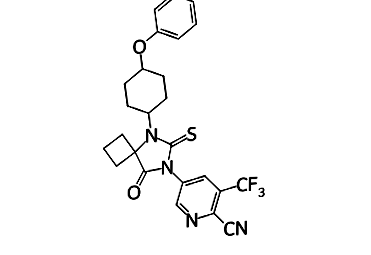 N#Cc1ncc(N2C(=O)C3(CCC3)N(C3CCC(Oc4ccccc4)CC3)C2=S)cc1C(F)(F)F